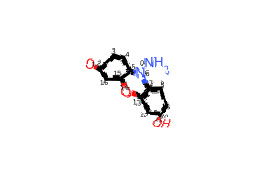 N.O=c1ccc2nc3ccc(O)cc3oc-2c1